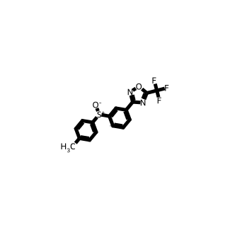 Cc1ccc([S+]([O-])c2[c]ccc(-c3noc(C(F)(F)F)n3)c2)cc1